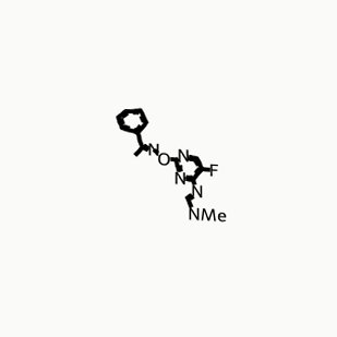 CN/C=N/c1nc(O/N=C(\C)c2ccccc2)ncc1F